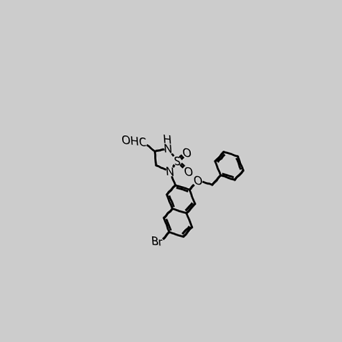 O=CC1CN(c2cc3cc(Br)ccc3cc2OCc2ccccc2)S(=O)(=O)N1